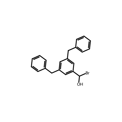 OC(Br)c1cc(Cc2ccccc2)cc(Cc2ccccc2)c1